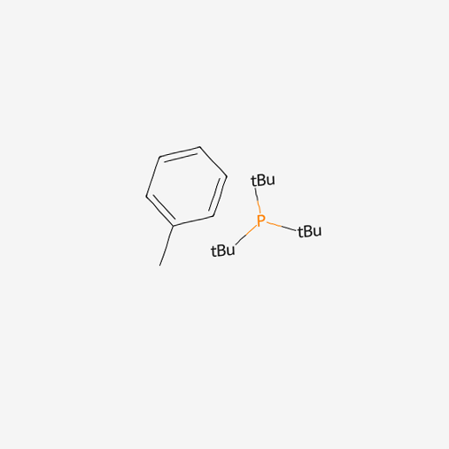 CC(C)(C)P(C(C)(C)C)C(C)(C)C.Cc1ccccc1